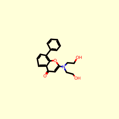 O=c1cc(N(CCO)CCO)oc2c(-c3ccccc3)cccc12